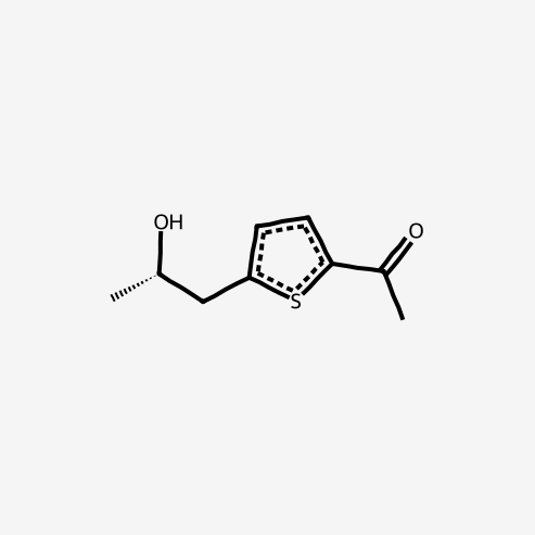 CC(=O)c1ccc(C[C@H](C)O)s1